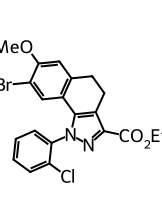 CCOC(=O)c1nn(-c2ccccc2Cl)c2c1CCc1cc(OC)c(Br)cc1-2